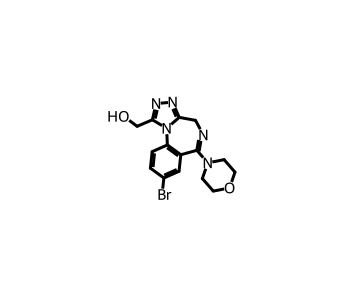 OCc1nnc2n1-c1ccc(Br)cc1C(N1CCOCC1)=NC2